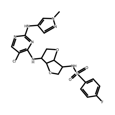 Cn1cc(Nc2ncc(Cl)c(NC3COC4C(NS(=O)(=O)c5ccc(F)cc5)COC34)n2)cn1